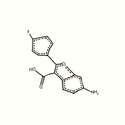 Nc1ccc2c(C(=O)O)c(-c3ccc(F)cc3)oc2c1